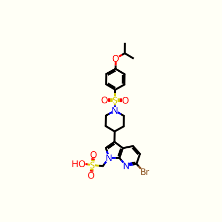 CC(C)Oc1ccc(S(=O)(=O)N2CCC(c3cn(CS(=O)(=O)O)c4nc(Br)ccc34)CC2)cc1